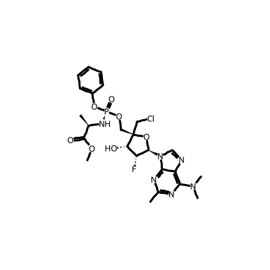 COC(=O)[C@@H](C)N[P@](=O)(OC[C@@]1(CCl)O[C@@H](n2cnc3c(N(C)C)nc(C)nc32)[C@H](F)[C@@H]1O)Oc1ccccc1